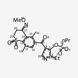 CCCS(=O)(=O)Oc1c(C(=O)c2cc(C)c3c(c2C)C(=NOC)CCS3(=O)=O)cnn1CC